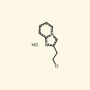 Cl.ClCCc1cn2ccccc2n1